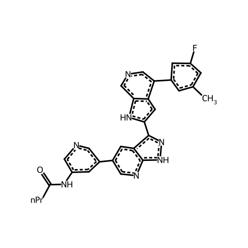 CCCC(=O)Nc1cncc(-c2cnc3[nH]nc(-c4cc5c(-c6cc(C)cc(F)c6)cncc5[nH]4)c3c2)c1